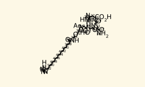 CC(=O)N(CC(=O)N[C@@H](CO)C(=O)N[C@@H](CCC(N)=O)C(=O)N[C@H](Cc1c[nH]cn1)C(=O)O)OCCOCCNC(=O)CCCCCCCCCCCCCCCc1nnn[nH]1